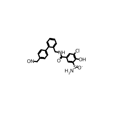 N[S+]([O-])c1cc(C(=O)NCc2ccccc2-c2ccc(CN=O)cc2)cc(Cl)c1O